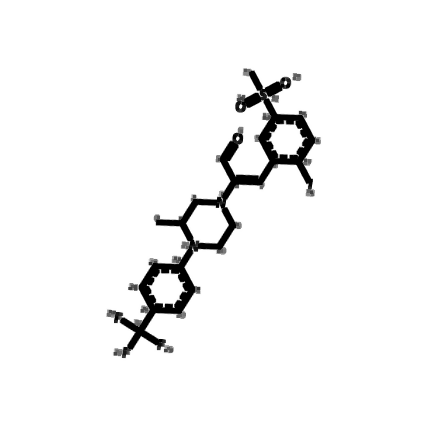 CC1CN(C(C=O)=Cc2cc(S(C)(=O)=O)ccc2I)CCN1c1ccc(C(F)(F)F)cc1